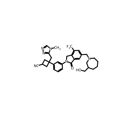 Cn1cnnc1CC1(c2cccc(N3Cc4c(cc(CN5CCCCC(CO)C5)cc4C(F)(F)F)C3=O)c2)CC(C#N)C1